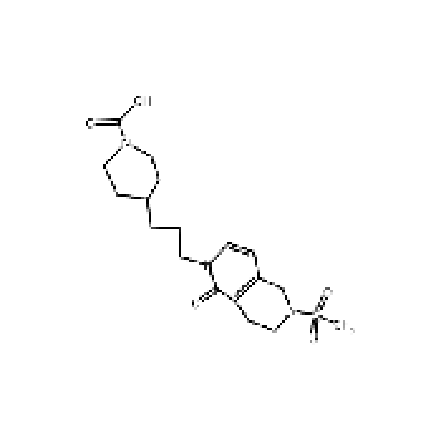 CS(=O)(=O)N1CCc2c(ccn(CCCC3CCN(C(=O)O)CC3)c2=O)C1